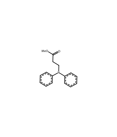 COC(=O)CCN(c1ccccc1)c1ccccc1